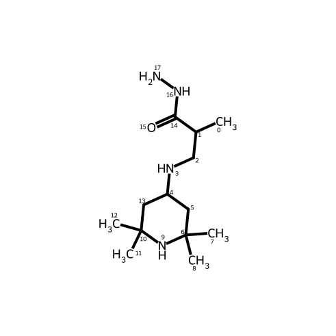 CC(CNC1CC(C)(C)NC(C)(C)C1)C(=O)NN